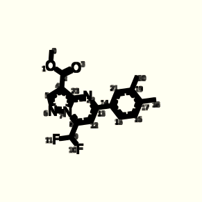 COC(=O)c1cnn2c(C(F)F)cc(-c3ccc(C)c(C)c3)nc12